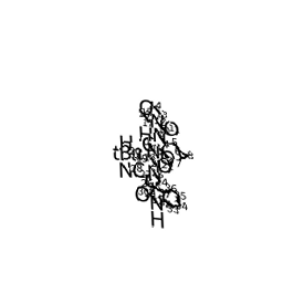 CN(C(=O)[C@H](CC1CC1)NC(=O)N1CCOCC1)[C@@H](CC(C)(C)C)C(=O)N1C[C@]2(C[C@H]1C#N)C(=O)Nc1ccccc12